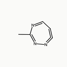 CC1=NN=C=CC=N1